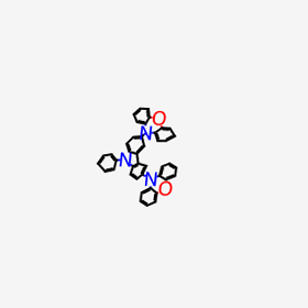 c1ccc(-n2c3ccc(N4c5ccccc5Oc5ccccc54)cc3c3cc(N4c5ccccc5Oc5ccccc54)ccc32)cc1